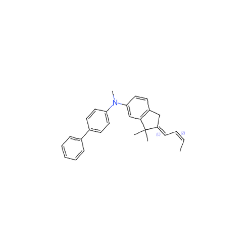 C/C=C\C=C1/Cc2ccc(N(C)c3ccc(-c4ccccc4)cc3)cc2C1(C)C